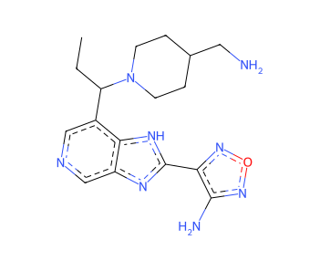 CCC(c1cncc2nc(-c3nonc3N)[nH]c12)N1CCC(CN)CC1